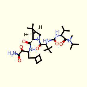 CC(C)[C@H](NC(=O)N[C@H](C(=O)N1C[C@H]2[C@@H]([C@H]1C(=O)NC(CC1CCC1)C(=O)C(N)=O)C2(C)C)C(C)(C)C)C(=O)N(C)C(C)C